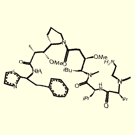 CC[C@H](C)[C@@H]([C@@H](CC(=O)N1CCC[C@H]1[C@H](OC)[C@@H](C)C(=O)NC(Cc1ccccc1)c1nccs1)OC)N(C)C(=O)[C@@H](NC(=O)[C@H](C(C)C)N(C)CCN)C(C)C